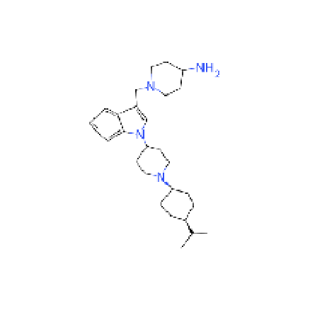 CC(C)[C@H]1CC[C@@H](N2CCC(n3cc(CN4CCC(N)CC4)c4ccccc43)CC2)CC1